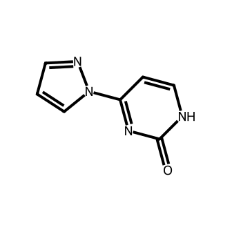 O=c1nc(-n2cccn2)cc[nH]1